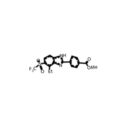 CCc1c(S(=O)(=O)C(F)(F)F)ccc2[nH]c(-c3ccc(C(=O)OC)cc3)nc12